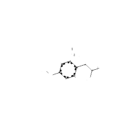 COc1ccc(CC(C)C)cc1.I.N